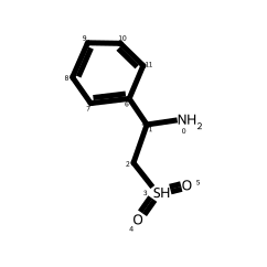 N[C](C[SH](=O)=O)c1ccccc1